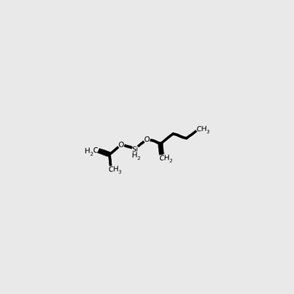 C=C(C)O[SiH2]OC(=C)CCC